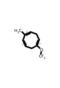 CC1=C/C/C=C(/OC(F)(F)F)C/C=C\1